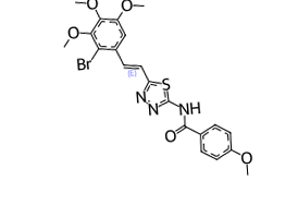 COc1ccc(C(=O)Nc2nnc(/C=C/c3cc(OC)c(OC)c(OC)c3Br)s2)cc1